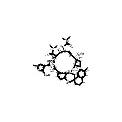 COc1nn(C)cc1C(=O)N[S@@]1(=O)=NC(=O)c2ccc3c(c2)N(C[C@@H]2CC[C@H]2[C@@H](OC)/C=C/[C@H](OC(=O)N(C)C)[C@H](C)C1C(=O)N(C)C)C[C@@]1(CCCc2cc(Cl)ccc21)CO3